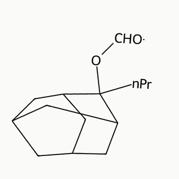 CCCC1(O[C]=O)C2CC3CC(C2)CC1C3